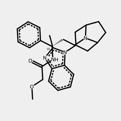 COCC(=O)N[C@@H](CCN1C2CCC1CC(n1c(C)nc3ccccc31)C2)c1ccccc1